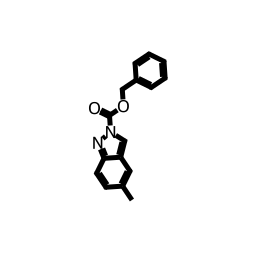 Cc1ccc2nn(C(=O)OCc3ccccc3)cc2c1